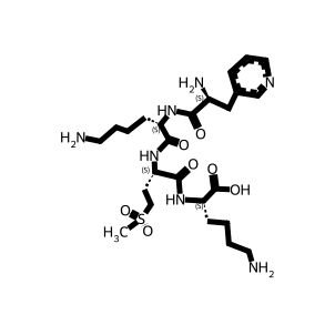 CS(=O)(=O)CC[C@H](NC(=O)[C@H](CCCCN)NC(=O)[C@@H](N)Cc1cccnc1)C(=O)N[C@@H](CCCCN)C(=O)O